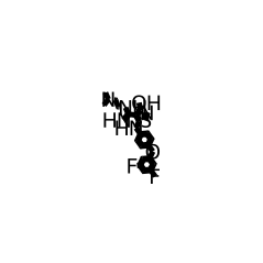 CN(C)CCNC(=N)c1c(O)nsc1Nc1ccc(Oc2cc(F)cc(F)c2)cc1